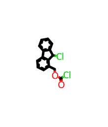 O=C(Cl)OCc1cccc2c1C(Cl)c1ccccc1-2